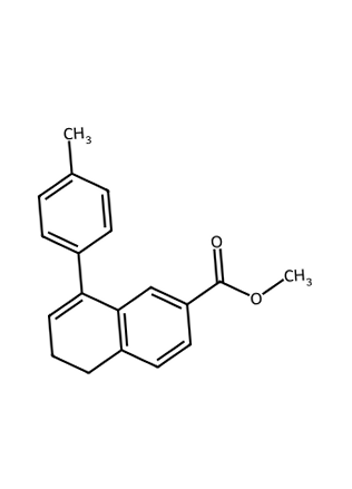 COC(=O)c1ccc2c(c1)C(c1ccc(C)cc1)=CCC2